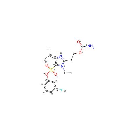 CCn1c(CCOC(N)=O)nc(C(C)C)c1S(=O)(=O)Oc1cccc(F)c1